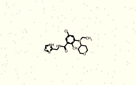 CCN(c1cc(Cl)cc(C(=O)NCc2nnc[nH]2)c1C)C1CCOCC1